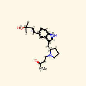 CNC(=O)CCN1CCC[C@@H]1Cc1c[nH]c2ccc(/C=C/C(C)(C)O)cc12